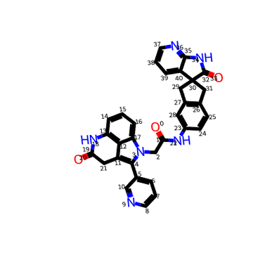 O=C(Cn1c(-c2cccnc2)c2c3c(cccc31)NC(=O)C2)Nc1ccc2c(c1)CC1(C2)C(=O)Nc2ncccc21